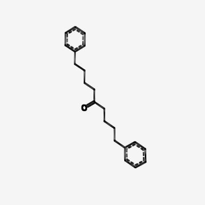 O=C(CCCCc1ccccc1)CCCCc1ccccc1